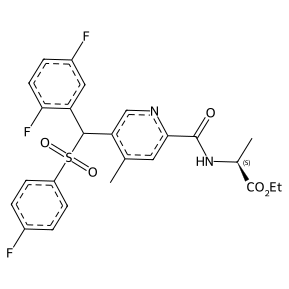 CCOC(=O)[C@H](C)NC(=O)c1cc(C)c(C(c2cc(F)ccc2F)S(=O)(=O)c2ccc(F)cc2)cn1